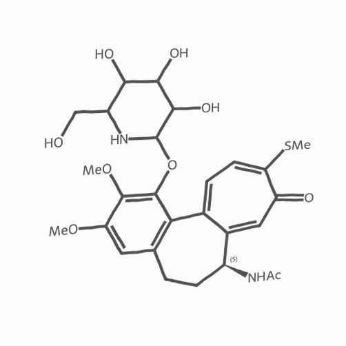 COc1cc2c(c(OC3NC(CO)C(O)C(O)C3O)c1OC)-c1ccc(SC)c(=O)cc1[C@@H](NC(C)=O)CC2